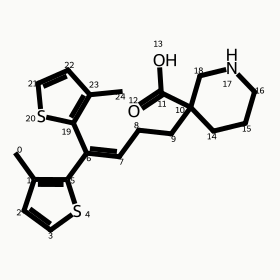 Cc1ccsc1C(=CCCC1(C(=O)O)CCCNC1)c1sccc1C